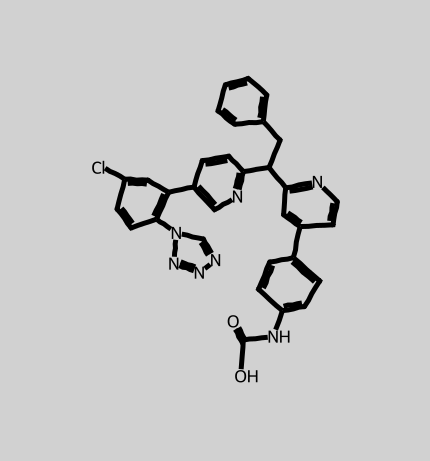 O=C(O)Nc1ccc(-c2ccnc(C(Cc3ccccc3)c3ccc(-c4cc(Cl)ccc4-n4cnnn4)cn3)c2)cc1